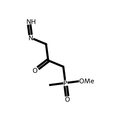 COP(C)(=O)CC(=O)CN=N